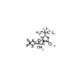 CN1CC(C(C)(C)C)CC1CC(C)(C)C1CC(F)(F)C1